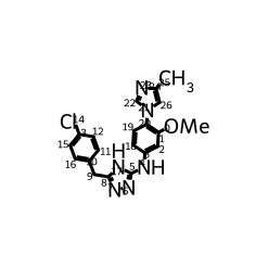 COc1cc(Nc2nnc(Cc3ccc(Cl)cc3)[nH]2)ccc1-n1cnc(C)c1